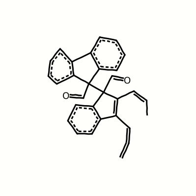 C=C=CC1=C(/C=C\C)C(C=O)(C2(C=O)c3ccccc3-c3ccccc32)c2ccccc21